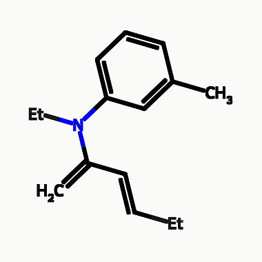 C=C(/C=C/CC)N(CC)c1cccc(C)c1